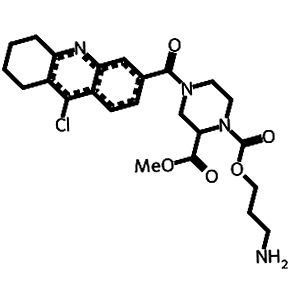 COC(=O)C1CN(C(=O)c2ccc3c(Cl)c4c(nc3c2)CCCC4)CCN1C(=O)OCCCN